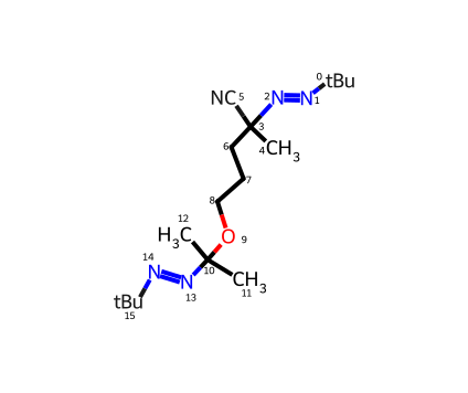 CC(C)(C)N=NC(C)(C#N)CCCOC(C)(C)N=NC(C)(C)C